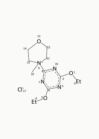 CCOc1nc(OCC)nc([N+]2(C)CCOCC2)n1.[Cl-]